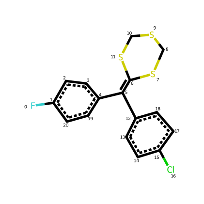 Fc1ccc(C(=C2SCSCS2)c2ccc(Cl)cc2)cc1